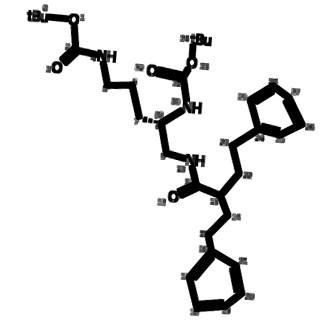 CC(C)(C)OC(=O)NCCC[C@@H](CNC(=O)C(CCc1ccccc1)CCc1ccccc1)NC(=O)OC(C)(C)C